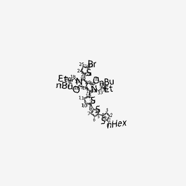 CCCCCCc1ccc(-c2ccc(-c3ccc(C4=C5C(=O)N(CC(CC)CCCC)C(c6ccc(Br)s6)=C5C(=O)N4CC(CC)CCCC)s3)s2)s1